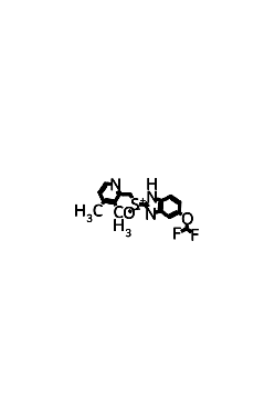 Cc1ccnc(C[S+]([O-])c2nc3cc(OC(F)F)ccc3[nH]2)c1C